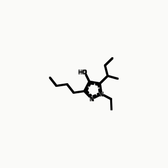 CCCCc1nn(CC)c(C(C)CC)c1O